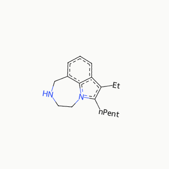 CCCCCc1c(CC)c2cccc3c2n1CCNC3